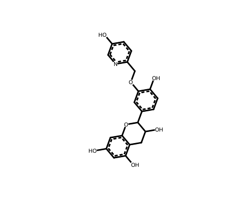 Oc1ccc(COc2cc(C3Oc4cc(O)cc(O)c4CC3O)ccc2O)nc1